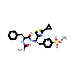 COC(=O)N[C@@H](Cc1ccccc1)C(=O)N[C@@H](Cc1ccc(S(=O)(=O)ON)cc1)c1csc(C2CC2)n1